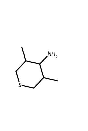 CC1CSCC(C)C1N